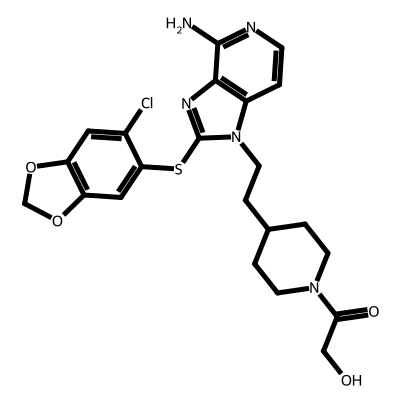 Nc1nccc2c1nc(Sc1cc3c(cc1Cl)OCO3)n2CCC1CCN(C(=O)CO)CC1